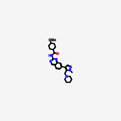 COC1CCC(C(=O)Nc2ncc3ccc(-c4cnn(C)c4CN4CCCCC4)cc3n2)CC1